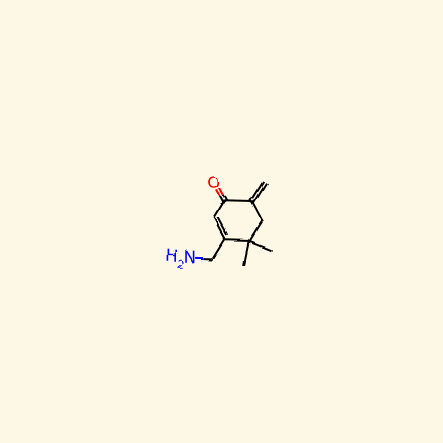 C=C1CC(C)(C)C(CN)=CC1=O